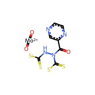 O=C(c1cnccn1)N(NC(=S)[S-])C(=S)[S-].[O]=[Mo+2]=[O]